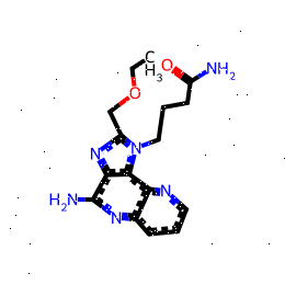 CCOCc1nc2c(N)nc3cccnc3c2n1CCCC(N)=O